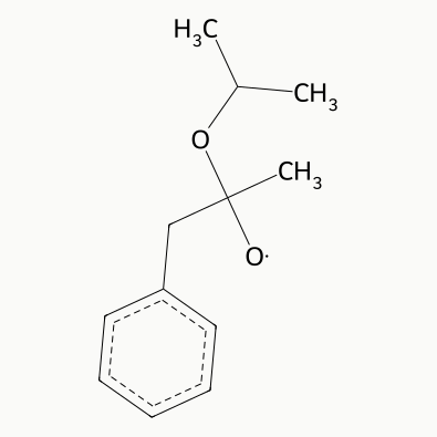 CC(C)OC(C)([O])Cc1ccccc1